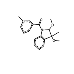 COC1N(C(=O)c2cccc(C)c2)c2ccccc2C1(C)OC